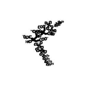 O=C([O-])CC(O)(CC(=O)[O-])C(=O)[O-].O=C([O-])CC(O)(CC(=O)[O-])C(=O)[O-].O=P([O-])([O-])OP(=O)([O-])[O-].O=P([O-])([O-])OP(=O)([O-])[O-].[Zn+2].[Zn+2].[Zn+2].[Zn+2].[Zn+2].[Zn+2].[Zn+2]